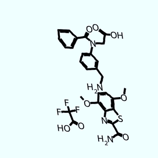 COc1ccc(OC)c2sc(C(N)=O)nc12.NCc1cccc(N(CC(=O)O)C(=O)c2ccccc2)c1.O=C(O)C(F)(F)F